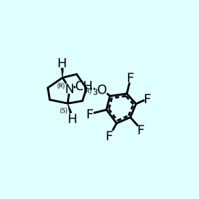 CN1[C@@H]2CC[C@H]1C[C@@H](Oc1c(F)c(F)c(F)c(F)c1F)C2